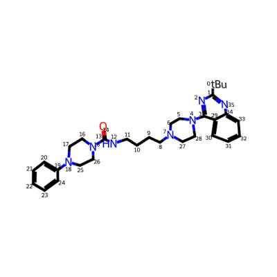 CC(C)(C)c1nc(N2CCN(CCCCNC(=O)N3CCN(c4ccccc4)CC3)CC2)c2ccccc2n1